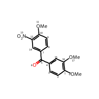 COc1ccc(C(=O)c2ccc(OC)c([N+](=O)[O-])c2)cc1OC